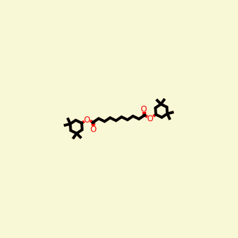 CC1(C)CC(OC(=O)CCCCCCCCC(=O)OC2CC(C)(C)CC(C)(C)C2)CC(C)(C)C1